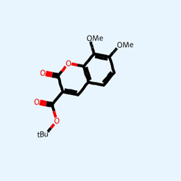 COc1ccc2cc(C(=O)OC(C)(C)C)c(=O)oc2c1OC